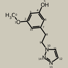 COc1cc(O)cc(CCn2ccnn2)c1